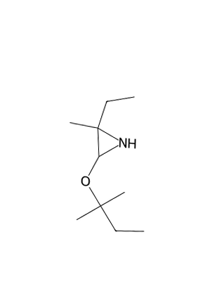 CCC(C)(C)OC1NC1(C)CC